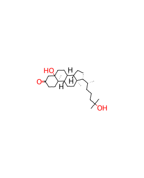 C[C@H](CCCC(C)(C)O)[C@H]1CC[C@H]2[C@@H]3CCC4(O)CC(=O)CC[C@]4(C)[C@H]3CC[C@]12C